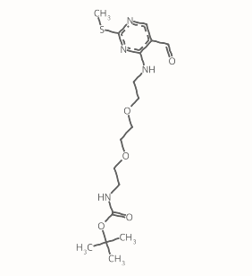 CSc1ncc(C=O)c(NCCOCCOCCNC(=O)OC(C)(C)C)n1